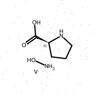 NO.O=C(O)[C@@H]1CCCN1.[V]